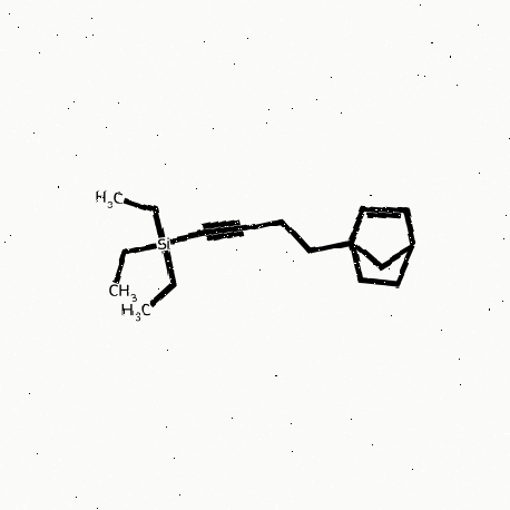 CC[Si](C#CCCC12C=CC(CC1)C2)(CC)CC